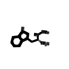 CON[C@@H](Cc1c[nH]c2ccccc12)C(=O)O